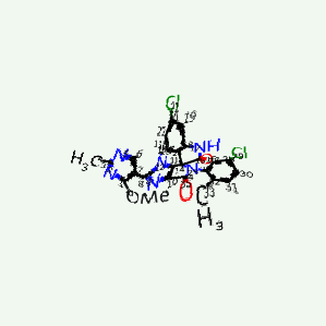 COc1nc(C)ncc1-c1nc2c(n1C(C)C)C1(C(=O)Nc3cc(Cl)ccc31)N(c1cc(Cl)ccc1C)C2=O